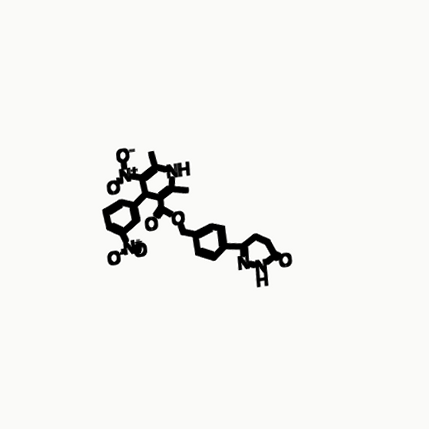 CC1=C(C(=O)OCc2ccc(C3=NNC(=O)CC3)cc2)C(c2cccc([N+](=O)[O-])c2)C([N+](=O)[O-])=C(C)N1